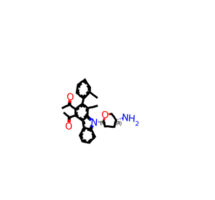 CC(=O)c1c(-c2ccccc2C)c(C)c2c(c1C(C)=O)c1ccccc1n2[C@H]1CC[C@@H](N)CO1